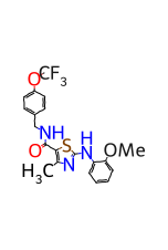 COc1ccccc1Nc1nc(C)c(C(=O)NCc2ccc(OC(F)(F)F)cc2)s1